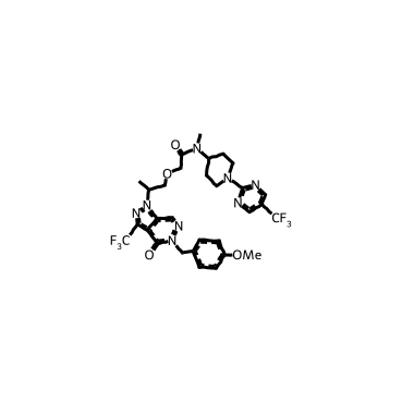 COc1ccc(Cn2ncc3c(c(C(F)(F)F)nn3C(C)COCC(=O)N(C)C3CCN(c4ncc(C(F)(F)F)cn4)CC3)c2=O)cc1